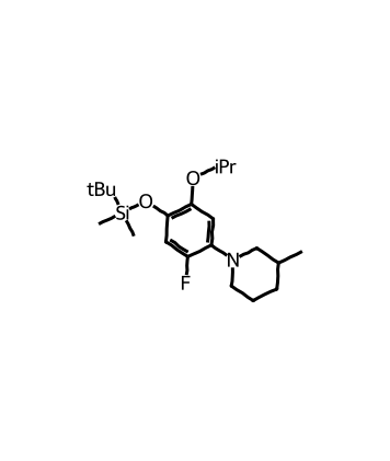 CC1CCCN(c2cc(OC(C)C)c(O[Si](C)(C)C(C)(C)C)cc2F)C1